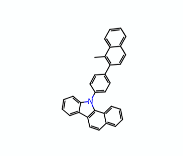 Cc1c(-c2ccc(-n3c4ccccc4c4ccc5ccccc5c43)cc2)ccc2ccccc12